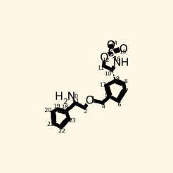 N[C@@H](COCc1cccc([C@@H]2COS(=O)(=O)N2)c1)c1ccccc1